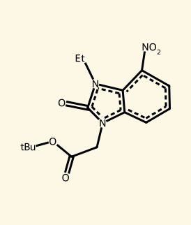 CCn1c(=O)n(CC(=O)OC(C)(C)C)c2cccc([N+](=O)[O-])c21